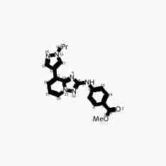 COC(=O)c1ccc(Nc2nc3c(-c4cnn(C(C)C)c4)cccn3n2)cc1